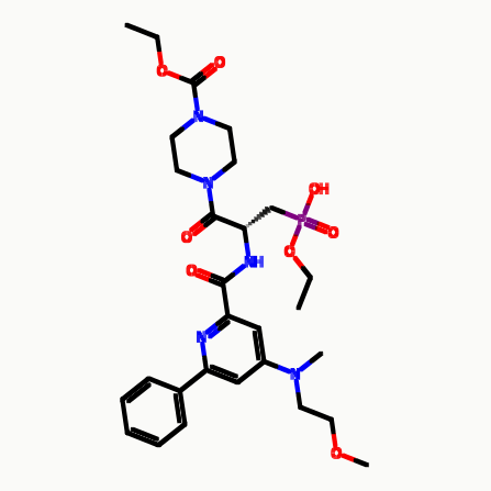 CCOC(=O)N1CCN(C(=O)[C@H](CP(=O)(O)OCC)NC(=O)c2cc(N(C)CCOC)cc(-c3ccccc3)n2)CC1